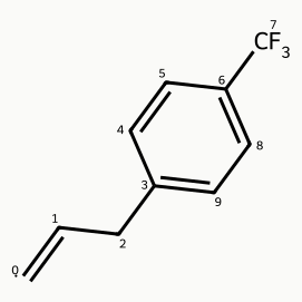 [CH]=CCc1ccc(C(F)(F)F)cc1